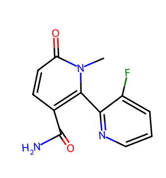 Cn1c(-c2ncccc2F)c(C(N)=O)ccc1=O